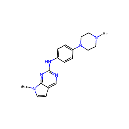 CCC(C)n1ccc2cnc(Nc3ccc(N4CCN(C(C)=O)CC4)cc3)nc21